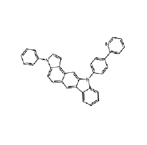 c1ccc(-n2ccc3c4cc5c(cc4ccc32)c2ccccc2n5-c2ccc(-c3ccccn3)cc2)cc1